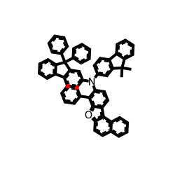 CC1(C)c2ccccc2-c2ccc(N(c3ccc4c(c3)C(c3ccccc3)(c3ccccc3)c3ccccc3-4)c3ccc4c(oc5ccc6ccccc6c54)c3-c3ccccc3)cc21